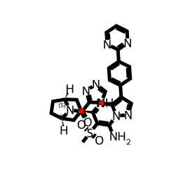 CS(=O)(=O)c1c([C@H]2C[C@H]3CC[C@@H](C2)N3C(=O)c2nnc[nH]2)nc2c(-c3ccc(-c4ncccn4)cc3)cnn2c1N